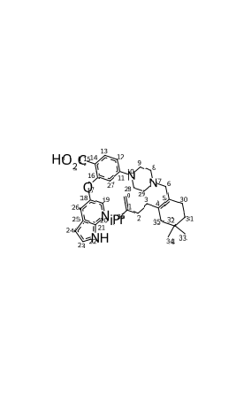 C=C(CCC1=C(CN2CCN(c3ccc(C(=O)O)c(Oc4cnc5[nH]ccc5c4)c3)CC2)CCC(C)(C)C1)C(C)C